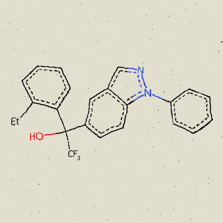 CCc1ccccc1C(O)(c1ccc2c(cnn2-c2ccccc2)c1)C(F)(F)F